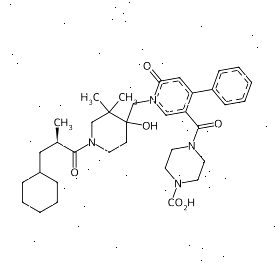 C[C@H](CC1CCCCC1)C(=O)N1CCC(O)(Cn2cc(C(=O)N3CCN(C(=O)O)CC3)c(-c3ccccc3)cc2=O)C(C)(C)C1